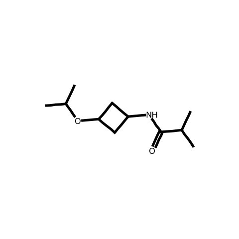 CC(C)OC1CC(NC(=O)C(C)C)C1